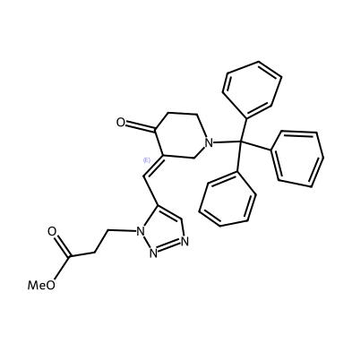 COC(=O)CCn1nncc1/C=C1\CN(C(c2ccccc2)(c2ccccc2)c2ccccc2)CCC1=O